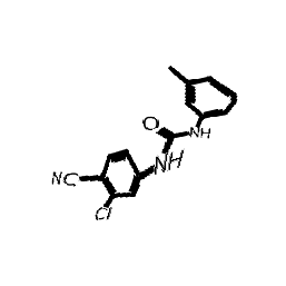 Cc1cccc(NC(=O)Nc2ccc(C#N)c(Cl)c2)c1